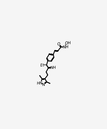 CC[C@H](C(=N)CCc1c(C)n[nH]c1C)c1ccc(/C=C/C(=O)NO)cc1